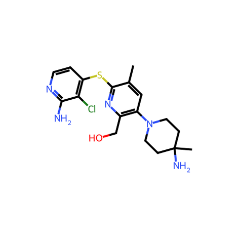 Cc1cc(N2CCC(C)(N)CC2)c(CO)nc1Sc1ccnc(N)c1Cl